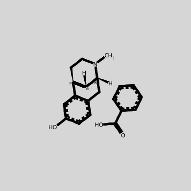 CN1CC[C@]23CCCC[C@H]2[C@H]1Cc1ccc(O)cc13.O=C(O)c1ccccc1